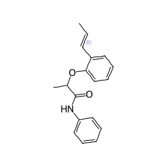 C/C=C/c1ccccc1OC(C)C(=O)Nc1ccccc1